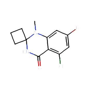 CN1c2cc(Br)cc(Cl)c2C(=O)NC12CCC2